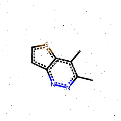 Cc1nnc2ccsc2c1C